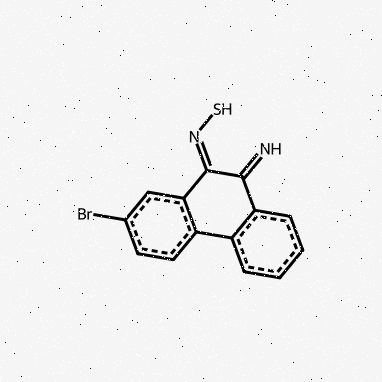 N=C1/C(=N\S)c2cc(Br)ccc2-c2ccccc21